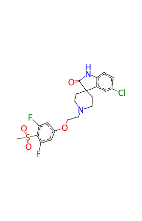 CS(=O)(=O)c1c(F)cc(OCCN2CCC3(CC2)C(=O)Nc2ccc(Cl)cc23)cc1F